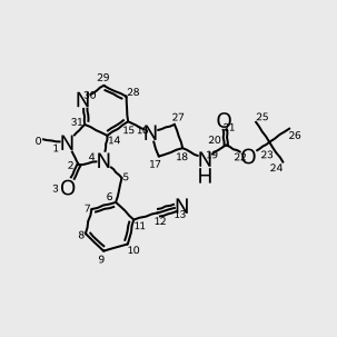 Cn1c(=O)n(Cc2ccccc2C#N)c2c(N3CC(NC(=O)OC(C)(C)C)C3)ccnc21